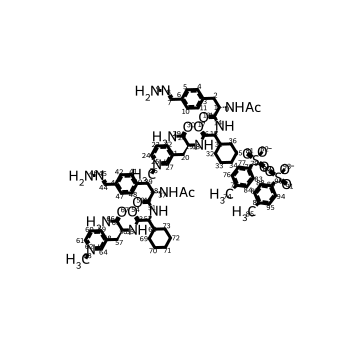 CC(=O)N[C@@H](Cc1ccc(C=NN)cc1)C(=O)N[C@H](C(=O)N[C@@H](Cc1ccc[n+](C)c1)C(N)=O)C1CCCCC1.CC(=O)N[C@@H](Cc1ccc(C=NN)cc1)C(=O)N[C@H](C(=O)N[C@@H](Cc1ccc[n+](C)c1)C(N)=O)C1CCCCC1.Cc1ccc(S(=O)(=O)[O-])cc1.Cc1ccc(S(=O)(=O)[O-])cc1